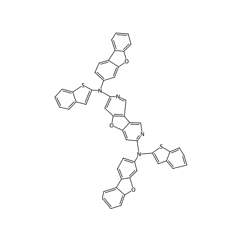 c1ccc2sc(N(c3ccc4c(c3)oc3ccccc34)c3cc4oc5cc(N(c6ccc7c(c6)oc6ccccc67)c6cc7ccccc7s6)ncc5c4cn3)cc2c1